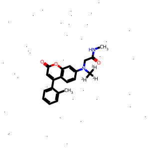 [2H]C([2H])([2H])N(CC(=O)NC)c1ccc2c(-c3ccccc3C)cc(=O)oc2c1